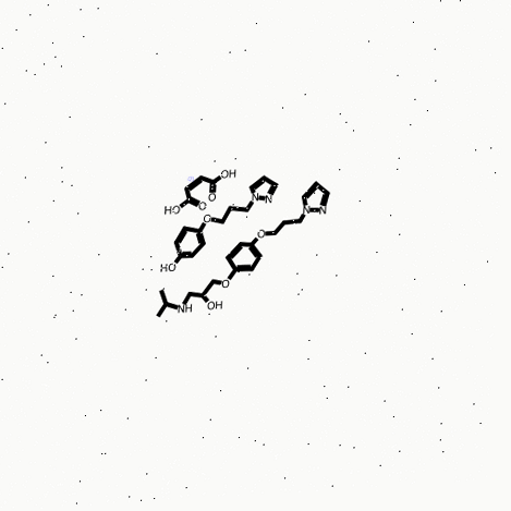 CC(C)NCC(O)COc1ccc(OCCCn2cccn2)cc1.O=C(O)/C=C\C(=O)O.Oc1ccc(OCCCn2cccn2)cc1